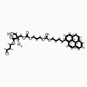 CC(CO)(COC(=O)OCCCOC(=O)OCCCCc1ccc2c3c1C=CC1=CC=CC(=CC2)C13)C(=O)OCCCCl